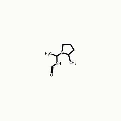 CC1CCCN1C(C)N[C]=O